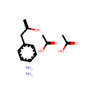 C=C(O)Cc1ccccc1.CC(=O)O.CC(=O)O.N.N